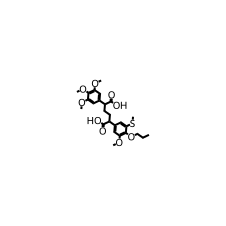 CCCOc1c(OC)cc(C(CCC(C(=O)O)c2cc(OC)c(OC)c(OC)c2)C(=O)O)cc1SC